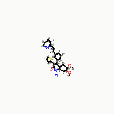 COc1cc2[nH]c(=O)c(-c3cccs3)c(-c3cccc(C=Cc4ccccn4)c3)c2cc1OC